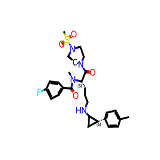 Cc1ccc([C@@H]2CC2NCCC[C@@H](C(=O)N2CCN(S(C)(=O)=O)CC2)N(C)C(=O)c2ccc(F)cc2)cc1